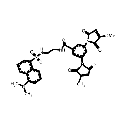 COC1=CC(=O)N(c2cc(C(=O)NCCNS(=O)(=O)c3cccc4c(N(C)C)cccc34)cc(N3C(=O)C=C(C)C3=O)c2)C1=O